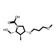 COCCCO[C@H]1CN(C(=O)O)[C@@H](CO)[C@@H]1C